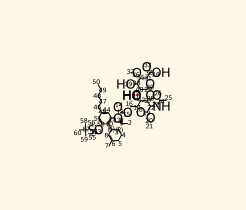 C=C(C)[C@@H]1CCC(C)=C[C@H]1c1c(OC(=O)OCC2OC(OC)C(NC(C)=O)C(OC3OC(C(=O)O)C(OC)C(O)C3O)C2O)cc(CCCCC)cc1O[Si](C)(C)C(C)(C)C